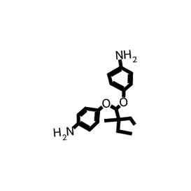 CCC(C)(CC)C(Oc1ccc(N)cc1)Oc1ccc(N)cc1